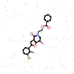 Cc1c(Br)cccc1-c1cc2c(=O)n(CCOC(=O)c3ccccc3)cc(I)c2o1